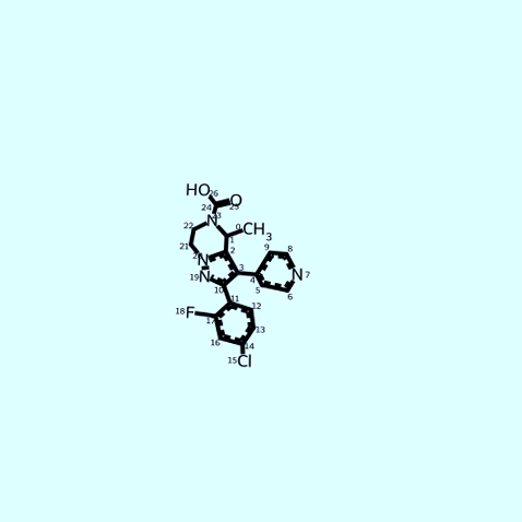 CC1c2c(-c3ccncc3)c(-c3ccc(Cl)cc3F)nn2CCN1C(=O)O